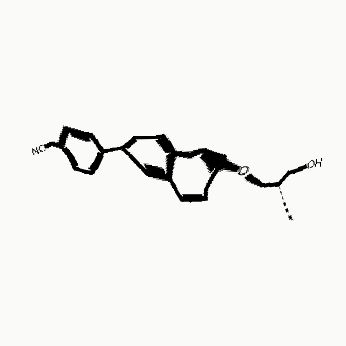 C[C@@H](CO)COc1ccc2cc(-c3ccc(C#N)cc3)ccc2c1